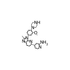 COc1cc(-n2c(C)nc3ccc(-c4ccnc(N)c4)nc32)ccc1N1CCNCC1